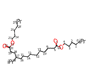 CC(C)CCCCOC(=O)CCCCCCCCCC(CCC(=O)OCCCCC(C)C)C(C)C